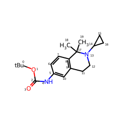 CC(C)(C)OC(=O)Nc1ccc2c(c1)CCN(C1CC1)C2(C)C